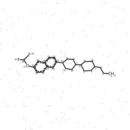 CCCC1CCC(C2CCC(c3ccc4cc(OC(F)F)ccc4c3)CC2)CC1